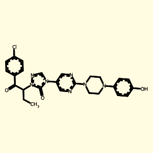 CCC(C(=O)c1ccc(Cl)cc1)n1ncn(-c2cnc(N3CCN(c4ccc(O)cc4)CC3)nc2)c1=O